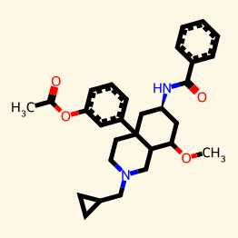 COC1C[C@H](NC(=O)c2ccccc2)CC2(c3cccc(OC(C)=O)c3)CCN(CC3CC3)CC12